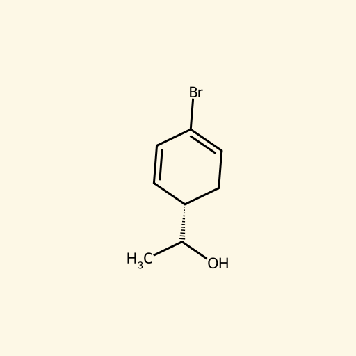 CC(O)[C@@H]1C=CC(Br)=CC1